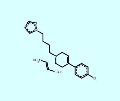 Clc1ccc(C2=CCN(CCCCn3cncn3)CC2)cc1.O=C(O)C=CC(=O)O